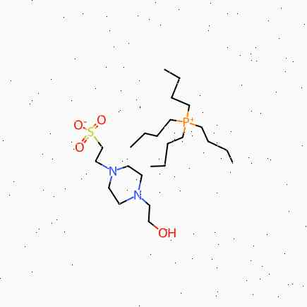 CCCC[P+](CCCC)(CCCC)CCCC.O=S(=O)([O-])CCN1CCN(CCO)CC1